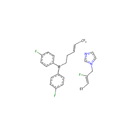 CCC=C(F)Cn1ccnc1.Fc1ccc(B(CCC=CC(F)(F)F)c2ccc(F)cc2)cc1